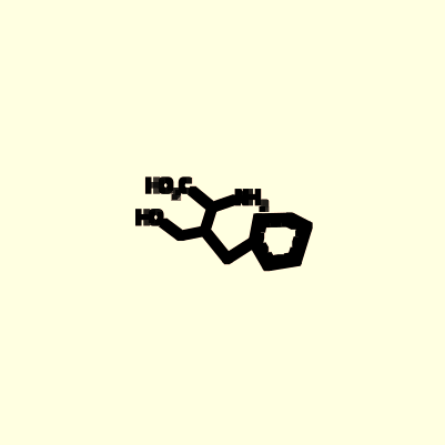 NC(C(=O)O)C(CO)Cc1ccccc1